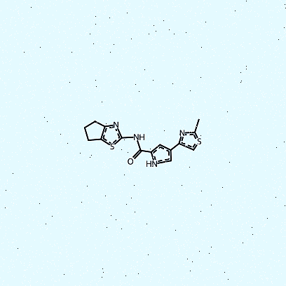 Cc1nc(-c2c[nH]c(C(=O)Nc3nc4c(s3)CCC4)c2)cs1